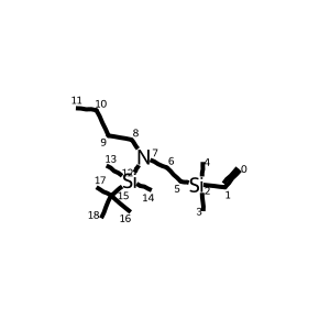 C=C[Si](C)(C)CCN(CCCC)[Si](C)(C)C(C)(C)C